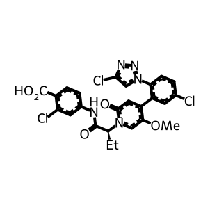 CC[C@@H](C(=O)Nc1ccc(C(=O)O)c(Cl)c1)n1cc(OC)c(-c2cc(Cl)ccc2-n2cc(Cl)nn2)cc1=O